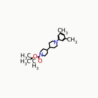 Cc1cc(C)cc(N2CCC(C3CCN(C(=O)OC(C)(C)C)CC3)CC2)c1